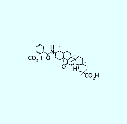 C[C@H]1C(NC(=O)c2ccccc2C(=O)O)CC[C@@]2(C)C1CC[C@]1(C)C2C(=O)C=C2[C@@H]3C[C@@](C)(C(=O)O)CC[C@]3(C)CC[C@]21C